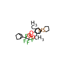 Cc1cc([SH]2CCCC2)cc(C)c1OS(=O)(=O)C(F)(F)C(F)(F)C1CC2CCC1C2